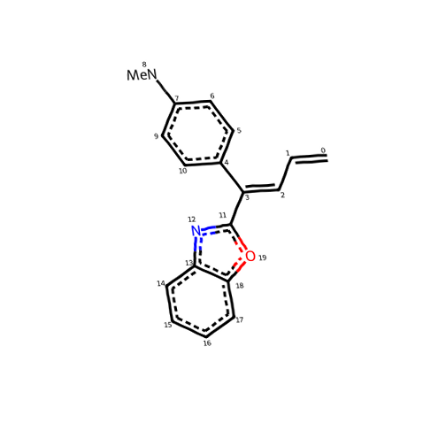 C=CC=C(c1ccc(NC)cc1)c1nc2ccccc2o1